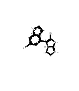 CCC1=C(c2cc(F)cc3sccc23)N2CCN=C2S1